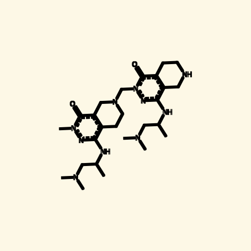 CC(CN(C)C)Nc1nn(C)c(=O)c2c1CCN(Cn1nc(NC(C)CN(C)C)c3c(c1=O)CCNC3)C2